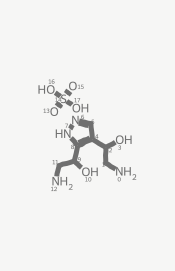 NCC(O)c1cn[nH]c1C(O)CN.O=S(=O)(O)O